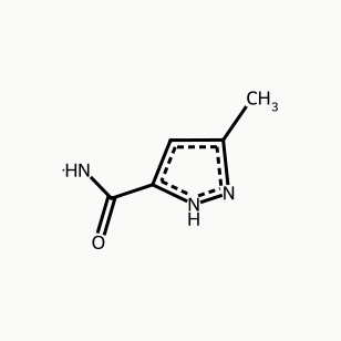 Cc1cc(C([NH])=O)[nH]n1